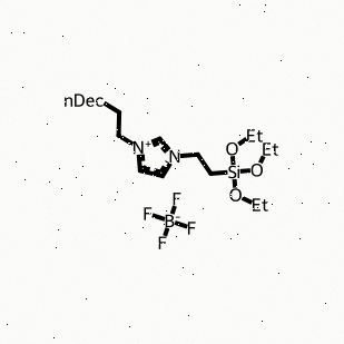 CCCCCCCCCCCC[n+]1ccn(CC[Si](OCC)(OCC)OCC)c1.F[B-](F)(F)F